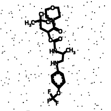 CC(CNc1ccc(OC(F)(F)F)cc1)NC(=O)OC(CC(C)(C)C)C(=O)N1CCOCC1